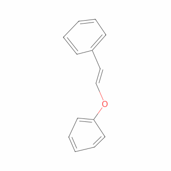 C(=Cc1ccccc1)Oc1ccccc1